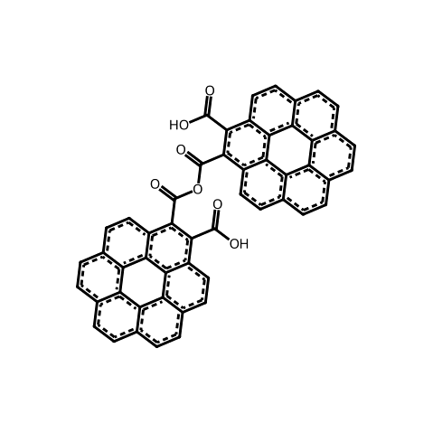 O=C(O)c1c(C(=O)OC(=O)c2c(C(=O)O)c3ccc4ccc5ccc6ccc7ccc2c2c7c6c5c4c32)c2ccc3ccc4ccc5ccc6ccc1c1c6c5c4c3c21